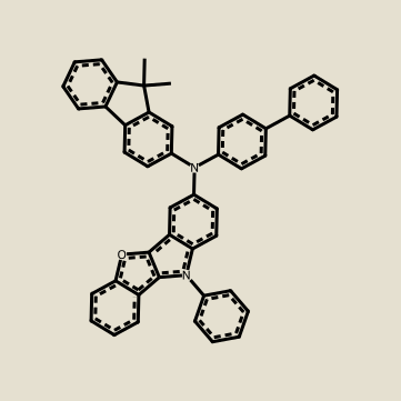 CC1(C)c2ccccc2-c2ccc(N(c3ccc(-c4ccccc4)cc3)c3ccc4c(c3)c3oc5ccccc5c3n4-c3ccccc3)cc21